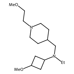 CCN(CC1CCN(CCOC)CC1)C1CC(OC)C1